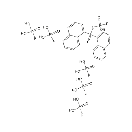 O=P(O)(F)OI(=O)(c1cccc2ccccc12)c1cccc2ccccc12.O=P(O)(O)F.O=P(O)(O)F.O=P(O)(O)F.O=P(O)(O)F.O=P(O)(O)F